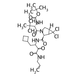 C=CCNC(=O)C(=O)C(CC1CCC1)NC(=O)[C@@H]1C2[C@H](CN1C(=O)[C@@H](NC(=O)OC(C)(C)C)C(C)(C)C)C2(Cl)Cl